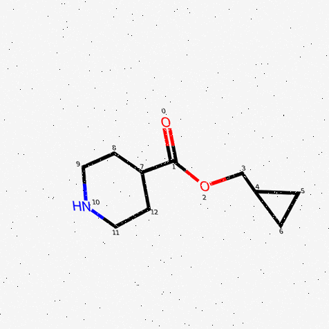 O=C(OCC1CC1)C1CCNCC1